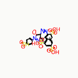 CC1=NN(c2ccc([SH](=O)=O)cc2)C(=O)C1/N=N\c1cc2c(S(=O)(=O)O)cc(S(=O)(=O)O)cc2cc1S(=O)(=O)O